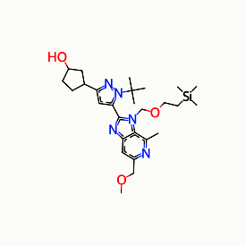 COCc1cc2nc(-c3cc(C4CCC(O)C4)nn3C(C)(C)C)n(COCC[Si](C)(C)C)c2c(C)n1